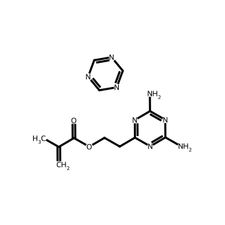 C=C(C)C(=O)OCCc1nc(N)nc(N)n1.c1ncncn1